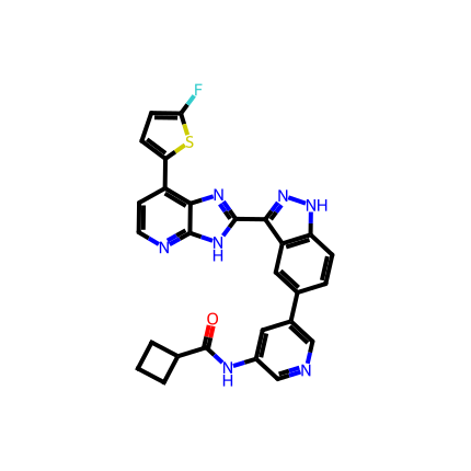 O=C(Nc1cncc(-c2ccc3[nH]nc(-c4nc5c(-c6ccc(F)s6)ccnc5[nH]4)c3c2)c1)C1CCC1